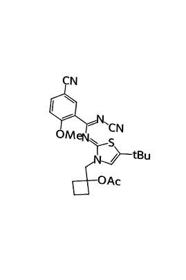 COc1ccc(C#N)cc1C(=NC#N)N=c1sc(C(C)(C)C)cn1CC1(OC(C)=O)CCC1